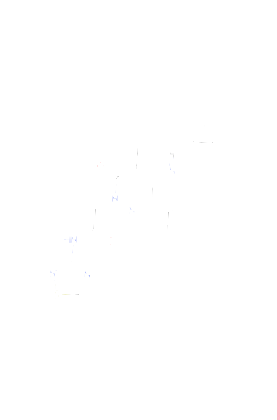 Cc1nc(NC(=O)Cn2nc(C(C)C)c3nc(C4CC4)ccc3c2=O)ns1